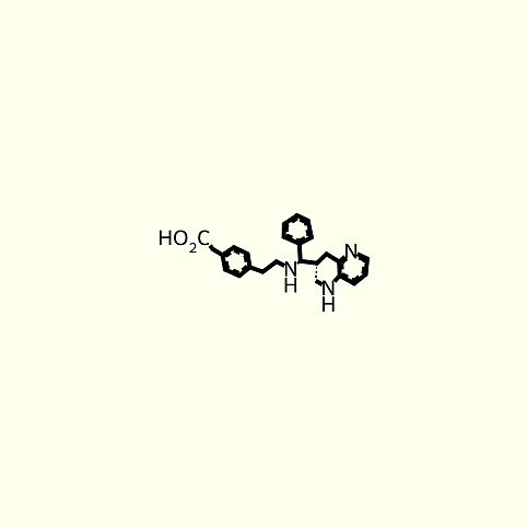 O=C(O)Cc1ccc(CCN[C@H](c2ccccc2)[C@H]2CNc3cccnc3C2)cc1